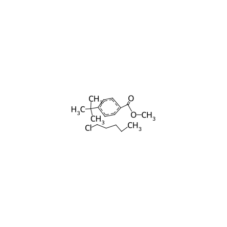 CCCCCCl.COC(=O)c1ccc(C(C)(C)C)cc1